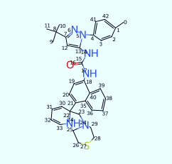 Cc1ccc(-n2nc(C(C)(C)C)cc2NC(=O)Nc2ccc(C3(CN4CCSCC4)C=CC=CN3)c3ccccc23)cc1